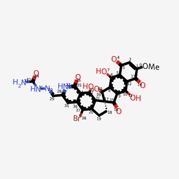 COC1=CC(=O)c2c(O)c3c(c(O)c2C1=O)C(=O)[C@]1(CCc2c1c(O)c1c(=O)[nH]c(C=NNC(N)=O)cc1c2Br)C3=O